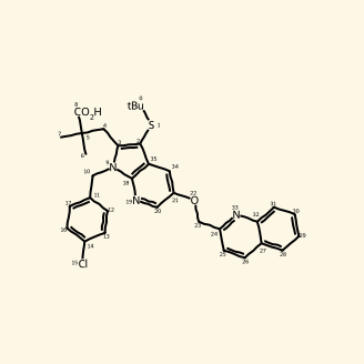 CC(C)(C)Sc1c(CC(C)(C)C(=O)O)n(Cc2ccc(Cl)cc2)c2ncc(OCc3ccc4ccccc4n3)cc12